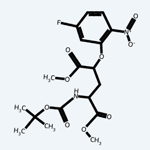 COC(=O)C(CC(Oc1cc(F)ccc1[N+](=O)[O-])C(=O)OC)NC(=O)OC(C)(C)C